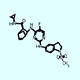 CS(=O)(=O)N1CCc2cc(Nc3ncc(F)c(NC4C5C=CC(C5)C4C(=O)NC4CC4)n3)ccc21